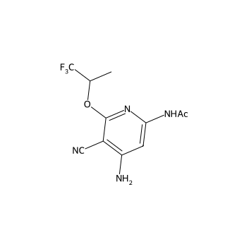 CC(=O)Nc1cc(N)c(C#N)c(OC(C)C(F)(F)F)n1